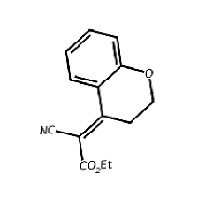 CCOC(=O)C(C#N)=C1CCOc2ccccc21